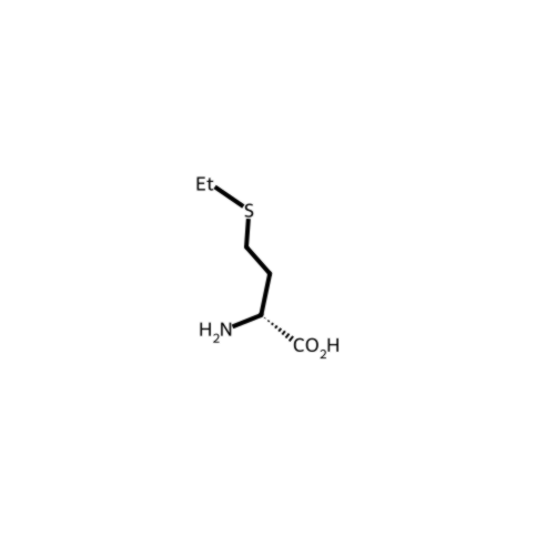 CCSCC[C@@H](N)C(=O)O